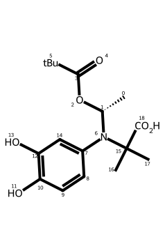 C[C@@H](OC(=O)C(C)(C)C)N(c1ccc(O)c(O)c1)C(C)(C)C(=O)O